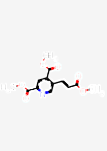 COC(=O)/C=C/c1cnc(C(=O)OC)cc1C(=O)OC